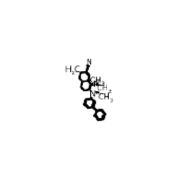 C=NC1=C(N(CC)c2cccc(C3C=CC=CC3)c2)CCC2CC(=C)C(C#N)=CC12C